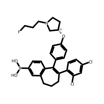 OB(O)c1ccc2c(c1)CCCC(c1ccc(Cl)cc1Cl)=C2c1ccc(O[C@H]2CCN(CCCF)C2)cc1